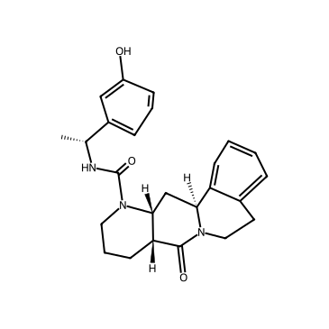 C[C@@H](NC(=O)N1CCC[C@H]2C(=O)N3CCc4ccccc4[C@@H]3C[C@H]21)c1cccc(O)c1